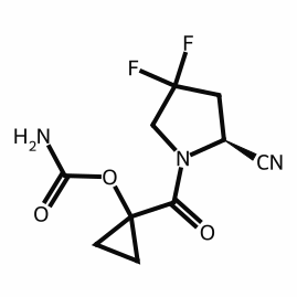 N#C[C@@H]1CC(F)(F)CN1C(=O)C1(OC(N)=O)CC1